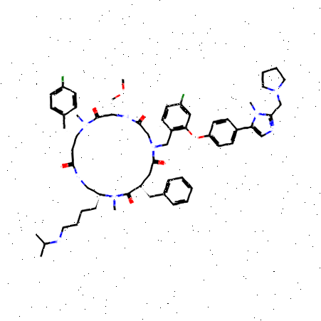 COC[C@@H]1NC(=O)[C@H](C)N(Cc2ccc(Cl)cc2Oc2ccc(-c3cnc(CN4CCCC4)n3C)cc2)C(=O)C[C@@H](Cc2ccccc2)C(=O)N(C)[C@@H](CCCCNC(C)C)CNC(=O)C[C@H](Cc2ccc(Cl)cc2)N(C)C1=O